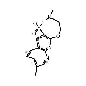 CC1=C\C=C/c2cc3c(nc2/N=C\1)OCCN(C)CS3(=O)=O